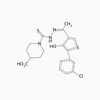 CC(=NNC(=S)N1CCC(C(=O)O)CC1)c1csc(-c2cccc(Cl)c2)c1O